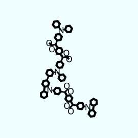 O=C1Oc2cc3c(cc2=C1c1ccc(N(c2ccccc2)c2ccccc2)cc1)OC(=O)C=3c1ccc(N(c2ccccc2)c2cccc(-c3ccc4c5ccccc5n(-c5ccc(C6=c7cc8c(cc7OC6=O)=C(c6ccc(-n7c9ccccc9c9ccccc97)cc6)C(=O)O8)cc5)c4c3)c2)cc1